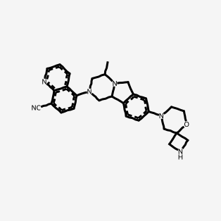 CC1CN(c2ccc(C#N)c3ncccc23)CC2c3ccc(N4CCOC5(CNC5)C4)cc3CN12